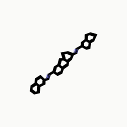 C(=C\c1ccc2cc3cc(/C=C/c4ccc5ccccc5c4)ccc3cc2c1)/c1ccc2ccccc2c1